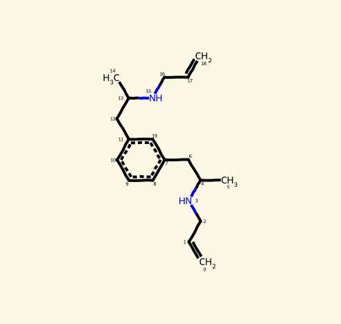 C=CCNC(C)Cc1cccc(CC(C)NCC=C)c1